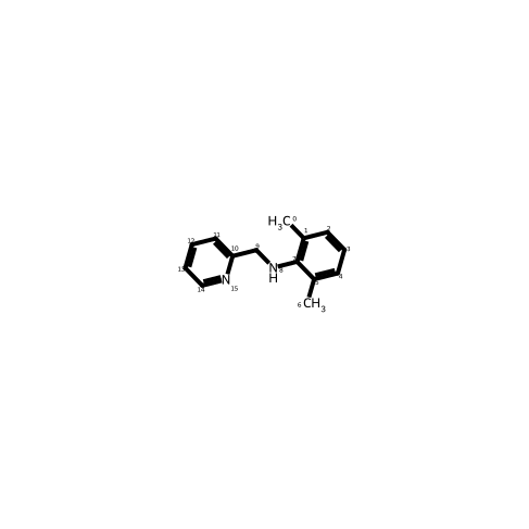 Cc1cccc(C)c1NCc1ccccn1